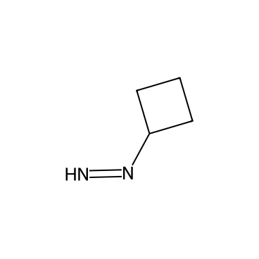 N=NC1CCC1